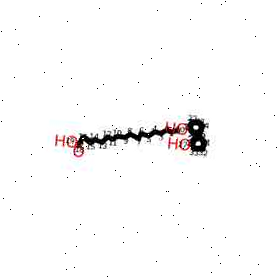 CCCCCCCCCCCCCCCC=CC(=O)O.Oc1ccccc1.Oc1ccccc1